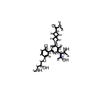 CNC[C@@H](O)COc1ccc(Cl)c(-c2nc(/C(C(C)=N)=C(\C)O)c(C)c(N3CC4(CC(C(=O)N(C)C)C4)C3)n2)c1